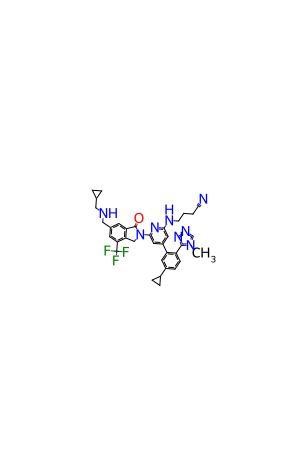 Cn1cnnc1-c1ccc(C2CC2)cc1-c1cc(NCCCC#N)nc(N2Cc3c(cc(CNCC4CC4)cc3C(F)(F)F)C2=O)c1